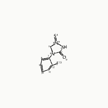 O=C1N[N+](=S)CN1c1ccccc1F